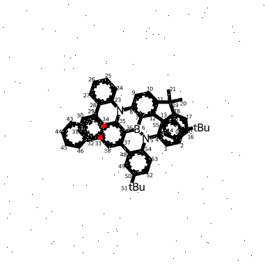 CC(C)(C)c1ccc(N2B3c4c(ccc5c4-c4ccccc4C5(C)C)N(c4ccccc4-c4ccccc4)c4c3c(cc3c4sc4ccccc43)-c3cc(C(C)(C)C)ccc32)cc1